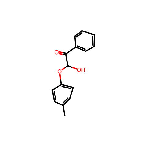 Cc1ccc(OC(O)C(=O)c2ccccc2)cc1